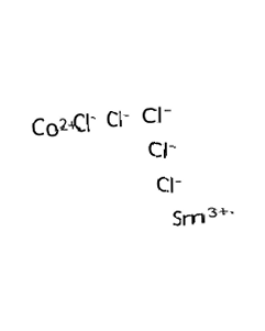 [Cl-].[Cl-].[Cl-].[Cl-].[Cl-].[Co+2].[Sm+3]